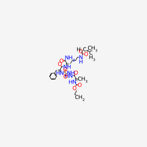 C=CCOC(=O)N[C@@H](C)C(=O)NNS(=O)(=O)N[C@H](Cc1ccccc1)C(=O)N[C@@H](CCCCNC(=O)OC(C)(C)C)C(N)=O